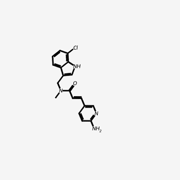 CN(Cc1c[nH]c2c(Cl)cccc12)C(=O)C=Cc1ccc(N)nc1